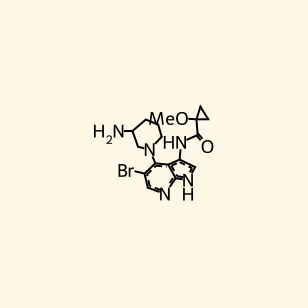 COC1(C(=O)Nc2c[nH]c3ncc(Br)c(N4CCCC(N)C4)c23)CC1